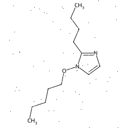 CCCCCOn1ccnc1CCCC